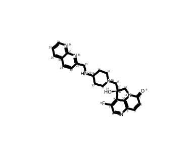 O=c1ccc2ncc(F)c3c2n1C[C@@]3(O)CN1CCC(NCc2ccc3cccnc3n2)CC1